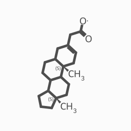 C[C@@]12CCCC1C1CCC3CC(CC([O])=O)=CC[C@]3(C)C1CC2